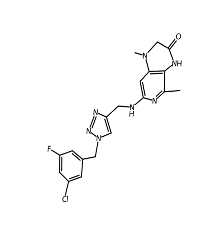 Cc1nc(NCc2cn(Cc3cc(F)cc(Cl)c3)nn2)cc2c1NC(=O)CN2C